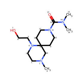 CN1CCN(CCO)C2(CCN(C(=O)N(C)C)CC2)C1